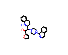 O=C(c1ccco1)C(C1CCc2ccccc2N1)N1CCN(c2nccc3ccccc23)CC1